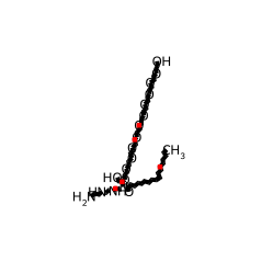 CCCCCCCC/C=C\CCCCCCCC(=O)N(CCNCCNCCN)C(CO)OCCOCCOCCOCCOCCOCCOCCOCCOCCOCCOCCO